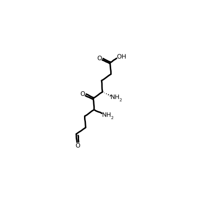 NC(CCC=O)C(=O)[C@@H](N)CCC(=O)O